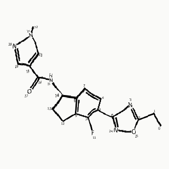 CCc1nc(-c2ccc3c(c2F)CC[C@H]3NC(=O)c2cnn(C)c2)no1